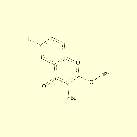 CCCCc1c(OCCC)oc2ccc(I)cc2c1=O